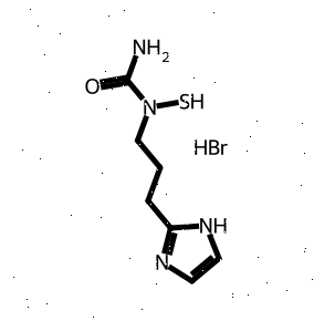 Br.NC(=O)N(S)CCCc1ncc[nH]1